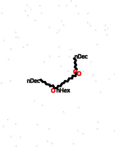 CCCCCCCCCCCCCCCCCC(=O)C(CCCCCC)CCCCCCCCCCC(=O)OCCCCCCCCCCCCCCCC